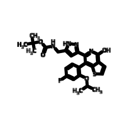 CC(C)Oc1cc(F)ccc1-c1c(-c2cc(CNC(=O)OC(C)(C)C)[nH]n2)nc(O)c2ccsc12